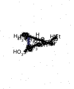 CCNC(=O)COCCOC(COc1cccc(C(=O)NCCNC(=O)CCCCCN2/C(=C/C=C/C=C/CC(C)(CCCCS(=O)(=O)O)c3ccccc3NCCCOc3ccc(O)cc3)C(C)(C)c3c2ccc2ccc(C)cc32)c1)N=[N+]=[N-]